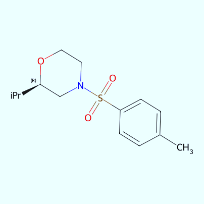 Cc1ccc(S(=O)(=O)N2CCO[C@H](C(C)C)C2)cc1